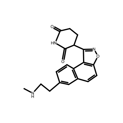 CNCCc1ccc2c(ccc3onc(C4CCC(=O)NC4=O)c32)c1